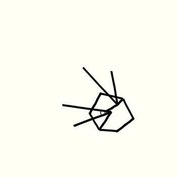 CC1(C)OC(C)(C)C2CCC1CC2